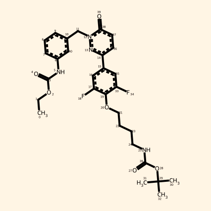 CCOC(=O)Nc1cccc(Cn2nc(-c3cc(F)c(OCCCCNC(=O)OC(C)(C)C)c(F)c3)ccc2=O)c1